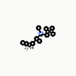 CC1(C)c2ccc(-c3ccc(-c4cc(-c5cccc6c5-c5ccccc5C6(c5ccccc5)c5ccccc5)nc(-c5ccccc5)n4)c4ccccc34)cc2-c2cc3ccccc3cc21